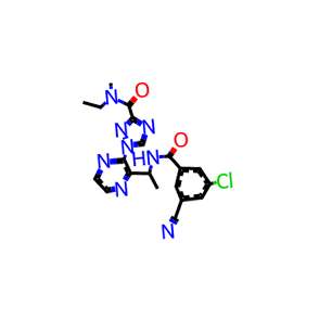 CCN(C)C(=O)c1ncn(-c2nccnc2C(C)NC(=O)c2cc(Cl)cc(C#N)c2)n1